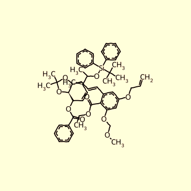 C=CCOc1cc(/C=C/C[C@@H]2OC(C)(C)O[C@@H]2C(/C=C\[C@@H](C)C(C)O[Si](c2ccccc2)(c2ccccc2)C(C)(C)C)OC(=O)c2ccccc2)c(C(=O)OCC)c(OCOC)c1